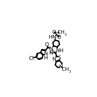 CN1CCc2nc(C(=O)NC3CCC(NS(C)(=O)=O)CC3NC(=O)c3cc4cc(Cl)ccc4[nH]3)sc2C1